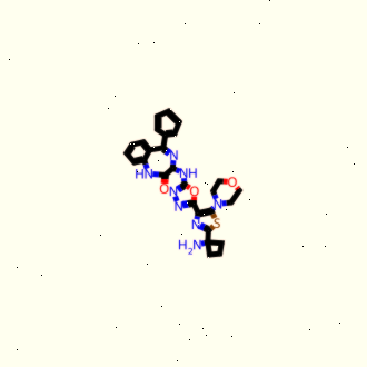 NC1(c2nc(-c3nnc(NC4N=C(c5ccccc5)c5ccccc5NC4=O)o3)c(N3CCOCC3)s2)CCC1